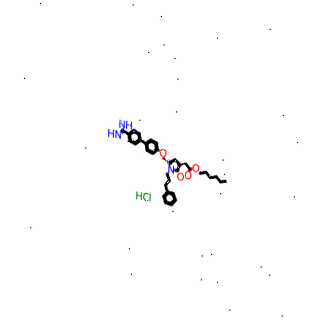 CCCCCCOC(=O)C[C@@H]1C[C@@H](COc2ccc(-c3ccc(C(=N)N)cc3)cc2)N(CCCc2ccccc2)C1=O.Cl